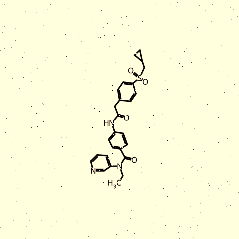 CCN(C(=O)c1ccc(NC(=O)Cc2ccc(S(=O)(=O)CC3CC3)cc2)cc1)c1cccnc1